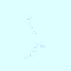 NC(=O)N(CCCCN1CCN(c2ccc3c(c2)OCCO3)CC1)c1cc2cc(Br)ccc2o1